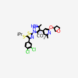 CC(=N)/C(=C(\Nc1nc(-c2ccc(Cl)c(Cl)c2)c(SC(C)C)s1)C(=O)O)c1cc(C)nc(O[C@H]2CCOC2)c1